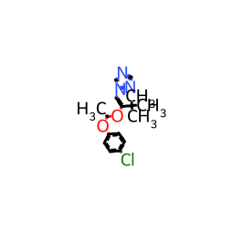 CC(OC(=Cn1cncn1)C(C)(C)C)Oc1ccc(Cl)cc1